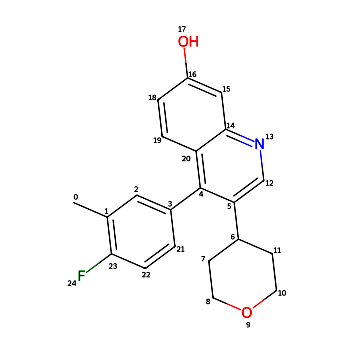 Cc1cc(-c2c(C3CCOCC3)cnc3cc(O)ccc23)ccc1F